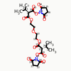 CC(C)[C@H](C(=O)OCCOCCOC(=O)[C@@H](C(=O)ON1C(=O)CCC1=O)C(C)C)C(=O)ON1C(=O)CCC1=O